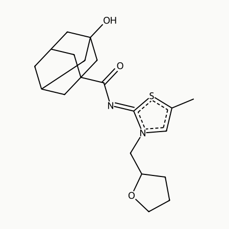 Cc1cn(CC2CCCO2)/c(=N/C(=O)C23CC4CC(CC(O)(C4)C2)C3)s1